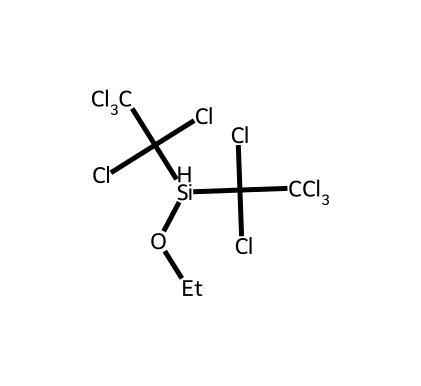 CCO[SiH](C(Cl)(Cl)C(Cl)(Cl)Cl)C(Cl)(Cl)C(Cl)(Cl)Cl